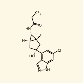 O=C(CC(F)(F)F)N[C@@H]1[C@@H]2C[C@@](O)(c3cc(Cl)cc4[nH]ncc34)C[C@@H]21